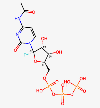 CC(=O)Nc1ccn([C@]2(F)O[C@H](COP(=O)(O)OP(=O)(O)OP(=O)(O)O)[C@@H](O)[C@H]2O)c(=O)n1